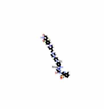 CCc1cc(Nc2ncc(Br)c(Nc3cnc4c(C)cccc4c3P(C)(C)=O)n2)c(OC)cc1N1CCC(N2CCN(CCC3CCN(c4cc(F)c(C5CCC(=O)NC5=O)c(F)c4)CC3)CC2)CC1